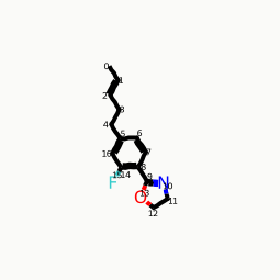 CC=CCCc1ccc(C2=NCCO2)c(F)c1